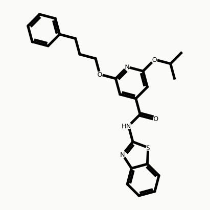 CC(C)Oc1cc(C(=O)Nc2nc3ccccc3s2)cc(OCCCc2ccccc2)n1